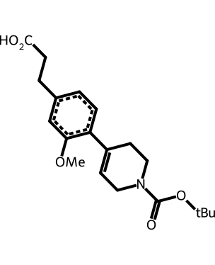 COc1cc(CCC(=O)O)ccc1C1=CCN(C(=O)OC(C)(C)C)CC1